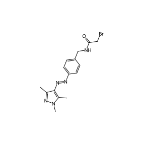 Cc1nn(C)c(C)c1N=Nc1ccc(CNC(=O)CBr)cc1